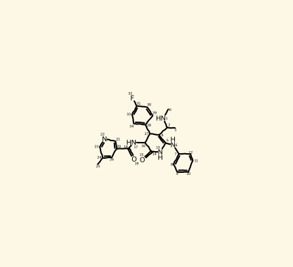 CNC(C)C1=C(Nc2ccccc2)NC(=O)C(NC(=O)c2cncc(C)c2)C1c1ccc(F)cc1